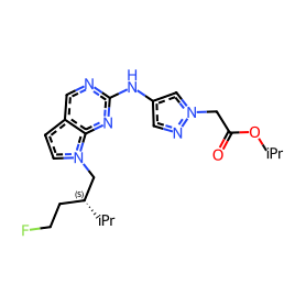 CC(C)OC(=O)Cn1cc(Nc2ncc3ccn(C[C@@H](CCF)C(C)C)c3n2)cn1